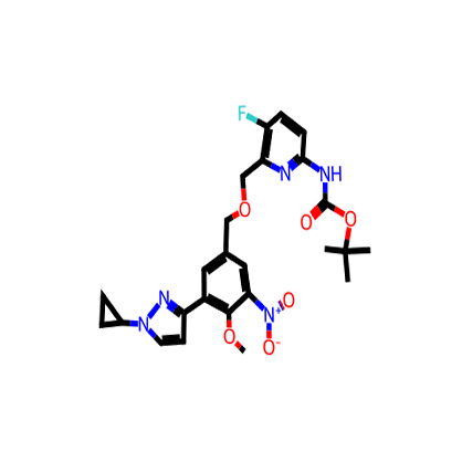 COc1c(-c2ccn(C3CC3)n2)cc(COCc2nc(NC(=O)OC(C)(C)C)ccc2F)cc1[N+](=O)[O-]